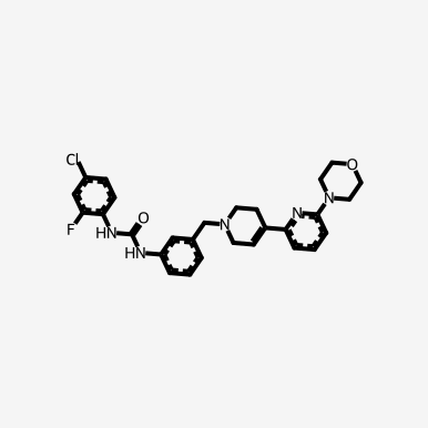 O=C(Nc1cccc(CN2CC=C(c3cccc(N4CCOCC4)n3)CC2)c1)Nc1ccc(Cl)cc1F